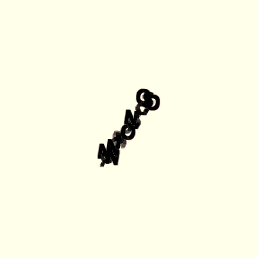 Cc1cnc(N2CC3[C@@H](COc4ccc(-c5ccc(S(C)(=O)=O)cc5)nc4)[C@]3(C)C2)nc1